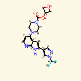 O=C(OC1COC1)N1CCN(c2ccnc3[nH]c(-c4cnn(C(F)F)c4)cc23)CC1